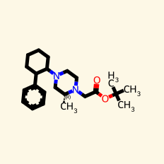 C[C@@H]1CN(C2CCCCC2c2ccccc2)CCN1CC(=O)OC(C)(C)C